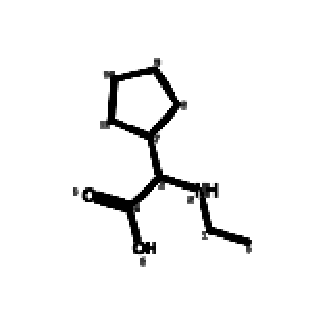 CCNC(C(=O)O)C1CCCC1